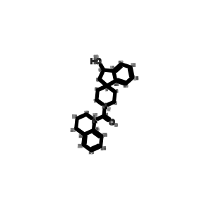 O=C(N1CCC2(CC1)CC(O)c1ccccc12)N1CCCc2ccccc21